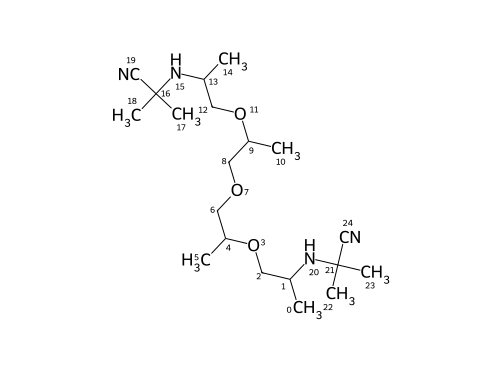 CC(COC(C)COCC(C)OCC(C)NC(C)(C)C#N)NC(C)(C)C#N